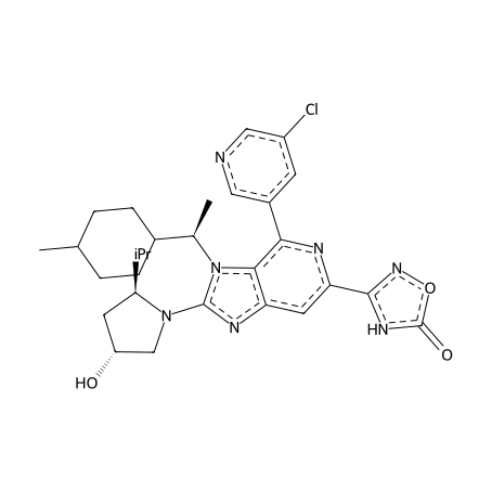 CC1CCC([C@@H](C)n2c(N3C[C@H](O)C[C@H]3C(C)C)nc3cc(-c4noc(=O)[nH]4)nc(-c4cncc(Cl)c4)c32)CC1